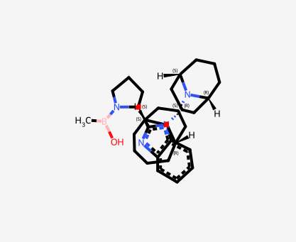 CB(O)N1CCC[C@H]1c1nc2ccccc2n1[C@H]1C[C@H]2CCC[C@@H](C1)N2[C@@H]1C[C@@H]2CCCC[C@@H](C2)C1